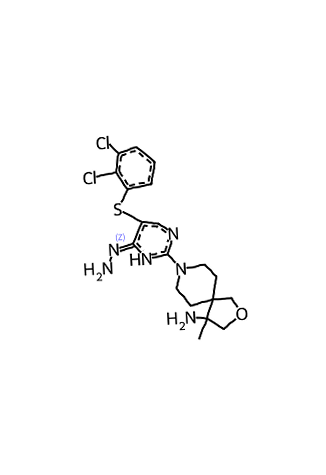 CC1(N)COCC12CCN(c1ncc(Sc3cccc(Cl)c3Cl)/c(=N/N)[nH]1)CC2